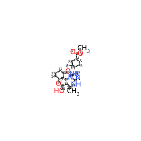 COC(=O)c1cccc(COc2ccccc2C2C(C(=O)O)=C(C)Nc3nnnn32)c1